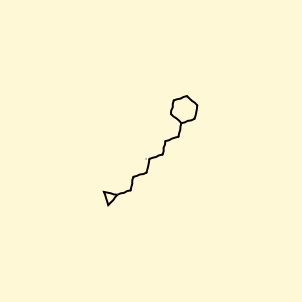 [CH](CCCC1CCCCC1)CCCC1CC1